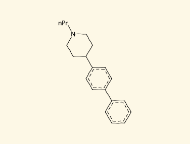 CCCN1CCC(c2ccc(-c3ccccc3)cc2)CC1